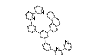 c1cncc(-c2cccc(-c3cccc(-c4cc(-c5cccc(-c6cccc(-c7cccnc7)n6)c5)cc(-c5ccc6ccc7ccccc7c6c5)c4)c3)n2)c1